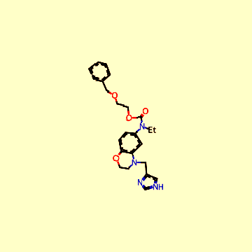 CCN(C(=O)OCCOCc1ccccc1)c1ccc2c(c1)N(Cc1c[nH]cn1)CCO2